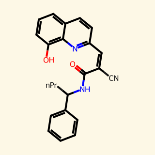 CCCC(NC(=O)C(C#N)=Cc1ccc2cccc(O)c2n1)c1ccccc1